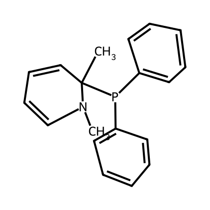 CN1C=CC=CC1(C)P(c1ccccc1)c1ccccc1